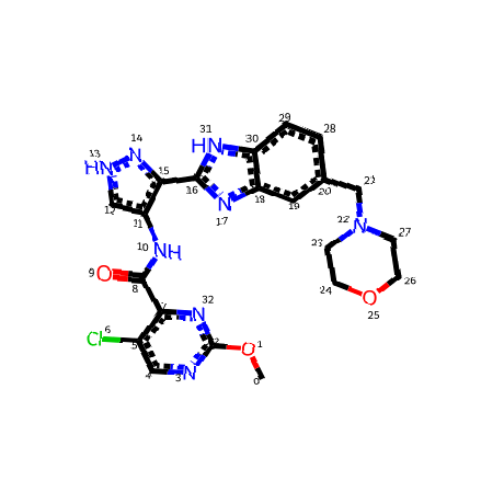 COc1ncc(Cl)c(C(=O)Nc2c[nH]nc2-c2nc3cc(CN4CCOCC4)ccc3[nH]2)n1